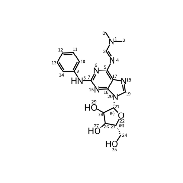 CN(C)C=Nc1nc(Nc2ccccc2)nc2c1ncn2[C@@H]1O[C@H](CO)C(O)C1O